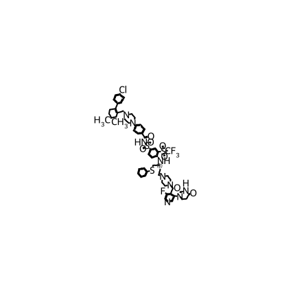 CC1(C)CCC(c2ccc(Cl)cc2)=C(CN2CCN(c3ccc(C(=O)NS(=O)(=O)c4ccc(N[C@H](CCN5CCN(Cc6c(F)cncc6N6CCC(=O)NC6=O)CC5)CSc5ccccc5)c(S(=O)(=O)C(F)(F)F)c4)cc3)CC2)C1